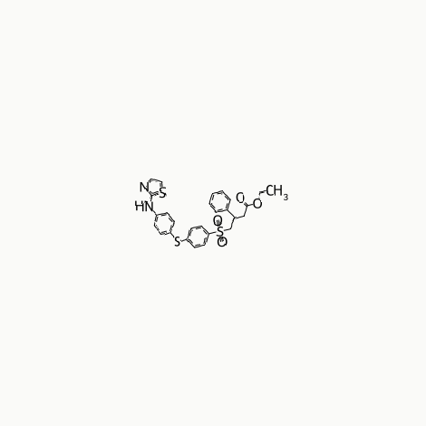 CCOC(=O)CC(CS(=O)(=O)c1ccc(Sc2ccc(Nc3nccs3)cc2)cc1)c1ccccc1